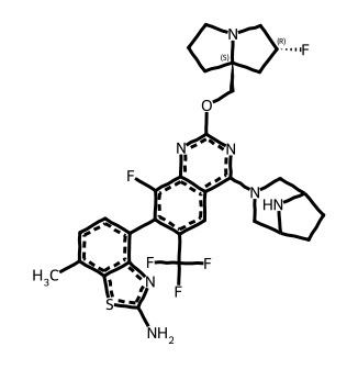 Cc1ccc(-c2c(C(F)(F)F)cc3c(N4CC5CCC(C4)N5)nc(OC[C@@]45CCCN4C[C@H](F)C5)nc3c2F)c2nc(N)sc12